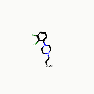 COCCN1CCN(c2cccc(F)c2Cl)CC1